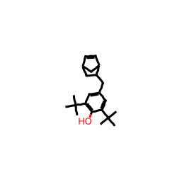 CC(C)(C)c1cc(CC2CC3C=CC2C3)cc(C(C)(C)C)c1O